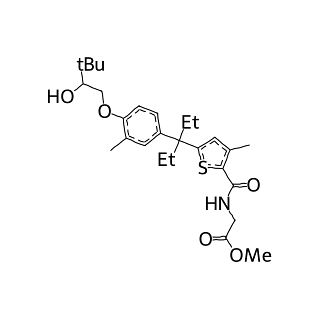 CCC(CC)(c1ccc(OCC(O)C(C)(C)C)c(C)c1)c1cc(C)c(C(=O)NCC(=O)OC)s1